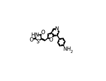 Nc1ccc(-c2cncc3cc(C=C4SC(=O)NC4=O)oc23)cc1